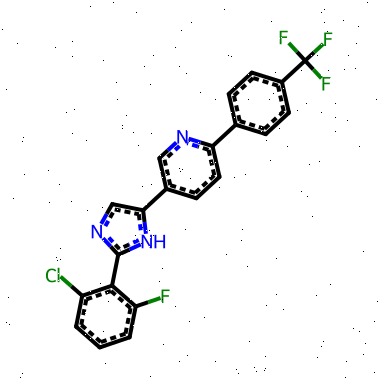 Fc1cccc(Cl)c1-c1ncc(-c2ccc(-c3ccc(C(F)(F)F)cc3)nc2)[nH]1